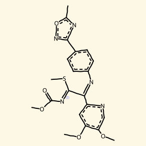 COC(=O)/N=C(\SC)C(=Nc1ccc(-c2noc(C)n2)cc1)c1cc(OC)c(OC)cn1